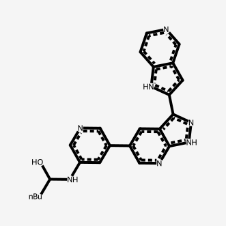 CCCCC(O)Nc1cncc(-c2cnc3[nH]nc(-c4cc5cnccc5[nH]4)c3c2)c1